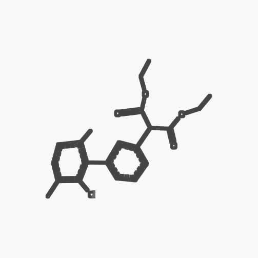 CCOC(=O)C(C(=O)OCC)c1cccc(-c2c(C)ccc(C)c2Cl)c1